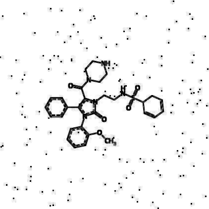 COc1ccccc1-n1c(-c2ccccc2)c(C(=O)N2CCNCC2)n(CCNS(=O)(=O)C2C=CC=CC2)c1=O